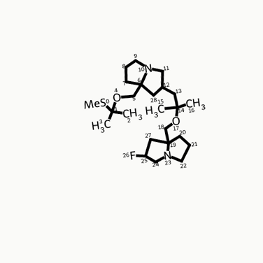 CSC(C)(C)OCC12CCCN1CC(CC(C)(C)OCC13CCCN1CC(F)C3)C2